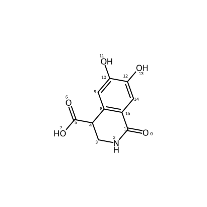 O=C1NCC(C(=O)O)c2cc(O)c(O)cc21